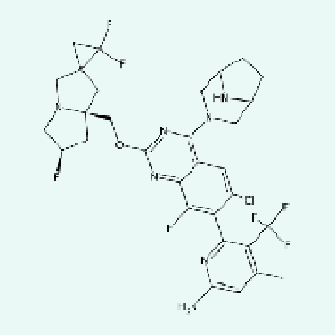 Cc1cc(N)nc(-c2c(Cl)cc3c(N4CC5CCC(C4)N5)nc(OC[C@@]45C[C@@H](F)CN4CC4(CC4(F)F)C5)nc3c2F)c1C(F)(F)F